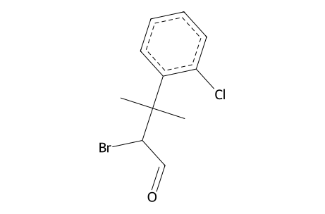 CC(C)(c1ccccc1Cl)C(Br)C=O